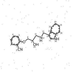 N#Cc1ccccc1OCC(O)CNCc1c[nH]c2ccccc12